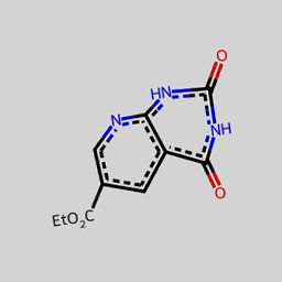 CCOC(=O)c1cnc2[nH]c(=O)[nH]c(=O)c2c1